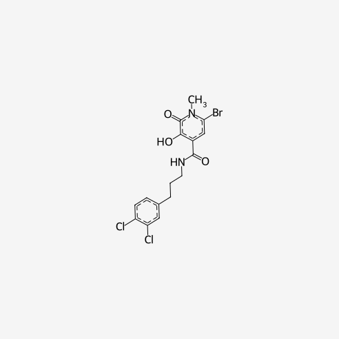 Cn1c(Br)cc(C(=O)NCCCc2ccc(Cl)c(Cl)c2)c(O)c1=O